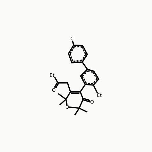 CCC(=O)CC1=C(c2cc(-c3ccc(Cl)cc3)ccc2CC)C(=O)C(C)(C)OC1(C)C